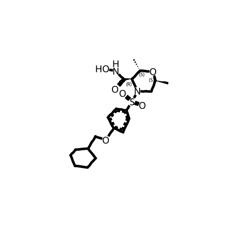 C[C@@H]1O[C@@H](C)CN(S(=O)(=O)c2ccc(OCC3CCCCC3)cc2)[C@H]1C(=O)NO